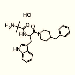 CC(C)(N)C(=O)NC(Cc1c[nH]c2ccccc12)C(=O)N1CCC(Cc2ccccc2)CC1.Cl